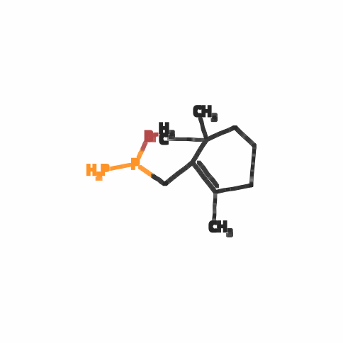 CC1=C(CP(P)Br)C(C)(C)CCC1